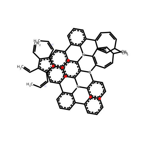 C=Cc1c(C=C)c(/C=C\C)n(-c2cc3c4c(c2)N(c2c(-c5ccccc5)cccc2-c2ccccc2)c2ccccc2B4C2=C(C=CC(C)C=C2)N3c2c(C3=CC=CC(C)C=C3)cccc2-c2ccccc2)c1/C=C\C